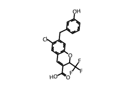 O=C(O)C1=Cc2cc(Cl)c(Cc3cccc(O)c3)cc2OC1C(F)(F)F